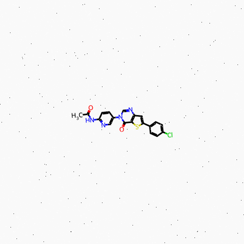 CC(=O)Nc1ccc(-n2cnc3cc(-c4ccc(Cl)cc4)sc3c2=O)cn1